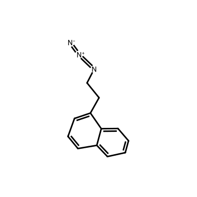 [N-]=[N+]=NCCc1cccc2ccccc12